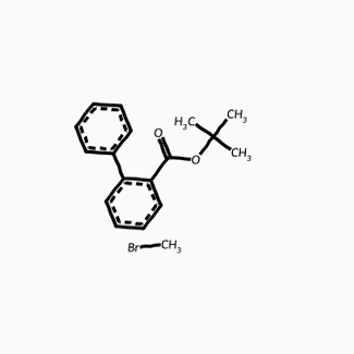 CBr.CC(C)(C)OC(=O)c1ccccc1-c1ccccc1